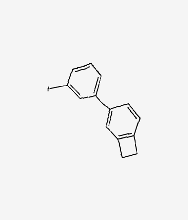 Ic1cccc(-c2ccc3c(c2)CC3)c1